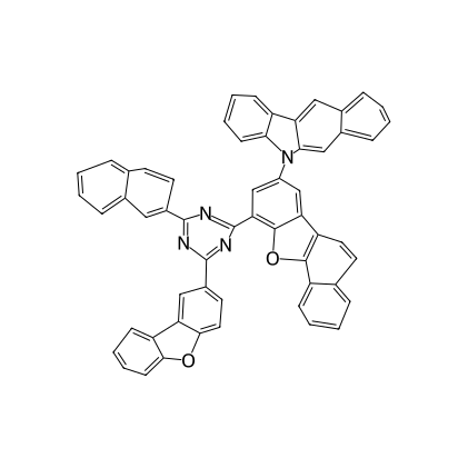 c1ccc2cc(-c3nc(-c4ccc5oc6ccccc6c5c4)nc(-c4cc(-n5c6ccccc6c6cc7ccccc7cc65)cc5c4oc4c6ccccc6ccc54)n3)ccc2c1